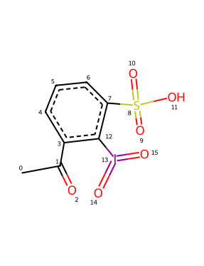 CC(=O)c1cccc(S(=O)(=O)O)c1I(=O)=O